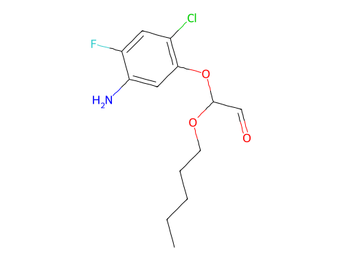 CCCCCOC(C=O)Oc1cc(N)c(F)cc1Cl